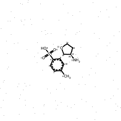 Cc1ccc(S(=O)(=O)O)cc1.N[C@@H]1CCOC1